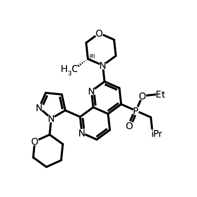 CCOP(=O)(CC(C)C)c1cc(N2CCOC[C@H]2C)nc2c(-c3ccnn3C3CCCCO3)nccc12